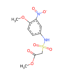 COC(=O)CS(=O)(=O)Nc1ccc(OC)c([N+](=O)[O-])c1